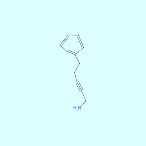 NCC#CCCc1ccccc1